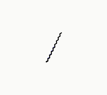 [CH]=C/C=C/C=C/C=C/C=C/CCCCCCCC